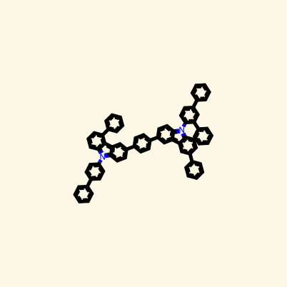 c1ccc(-c2ccc(-n3c4ccc(-c5ccc(-c6ccc7c(c6)c6cc(-c8ccccc8)ccc6n7-c6ccc(-c7ccccc7)cc6-c6ccccc6)cc5)cc4c4c(-c5ccccc5)cccc43)cc2)cc1